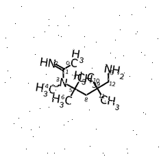 CC(=N)N(C)C(C)(C)CC(C)(C)CN